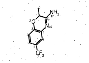 CC1Oc2ccc(C(F)(F)F)cc2N=C1N